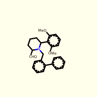 COc1cccc(OC)c1C1CCCC(C=O)N1Cc1ccccc1-c1ccccc1